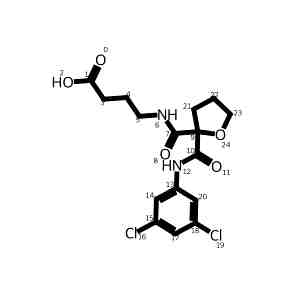 O=C(O)CCCNC(=O)C1(C(=O)Nc2cc(Cl)cc(Cl)c2)CCCO1